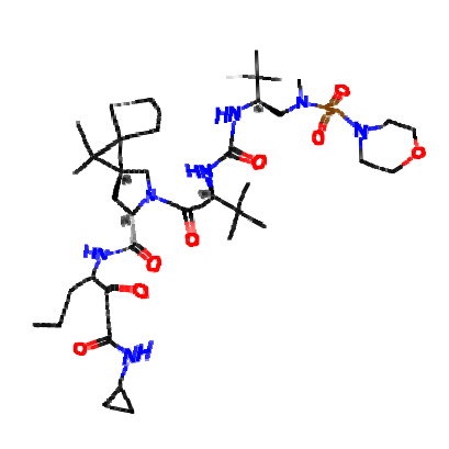 CCCC(NC(=O)[C@@H]1C[C@@]2(CN1C(=O)[C@@H](NC(=O)N[C@H](CN(C)S(=O)(=O)N1CCOCC1)C(C)(C)C)C(C)(C)C)C(C)(C)C21CCC1)C(=O)C(=O)NC1CC1